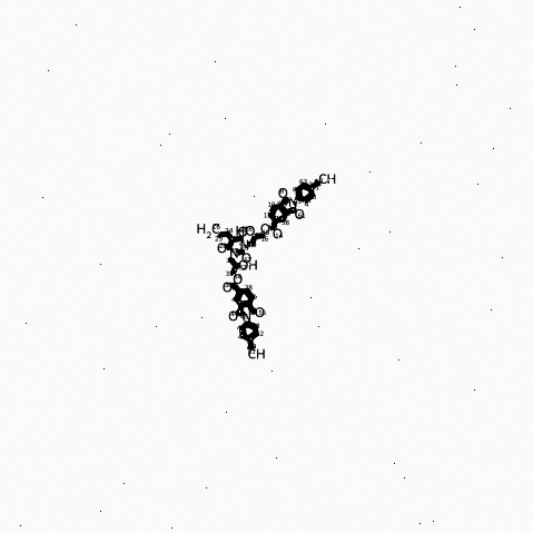 C#Cc1ccc(N2C(=O)c3ccc(C(=O)OCC(O)CN4C(=O)C(CC=C)C(=O)N(CC(O)COC(=O)c5ccc6c(c5)C(=O)N(c5ccc(C#C)cc5)C6=O)C4=O)cc3C2=O)cc1